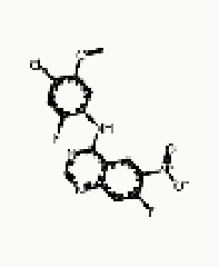 COc1cc(Nc2ncnc3cc(F)c([N+](=O)[O-])cc23)c(F)cc1Cl